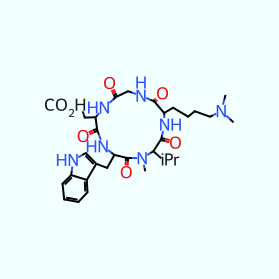 CC(C)C1C(=O)NC(CCCCN(C)C)C(=O)NCC(=O)NC(CC(=O)O)C(=O)NC(Cc2c[nH]c3ccccc23)C(=O)N1C